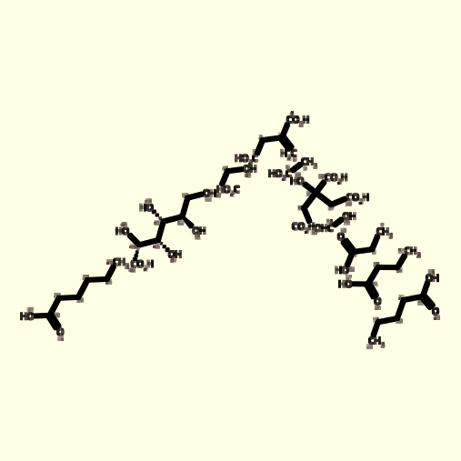 C=C(CC(=O)O)C(=O)O.CC(=O)O.CCC(=O)O.CCCC(=O)O.CCCCC(=O)O.CCCCCC(=O)O.O=C(O)CC(O)(CC(=O)O)C(=O)O.O=C(O)CO.O=C(O)[C@H](O)[C@@H](O)[C@H](O)[C@H](O)CO.O=CO